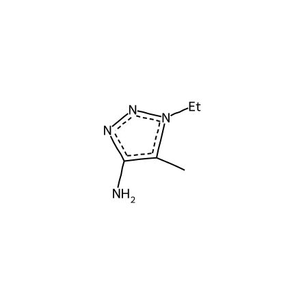 CCn1nnc(N)c1C